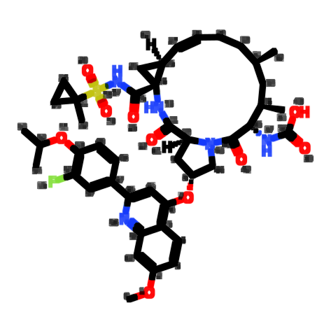 COc1ccc2c(O[C@@H]3C[C@H]4C(=O)N[C@]5(C(=O)NS(=O)(=O)C6(C)CC6)C[C@H]5/C=C\CC[C@@H](C)C[C@@H](C)[C@H](NC(=O)O)C(=O)N4C3)cc(-c3ccc(OC(C)C)c(F)c3)nc2c1